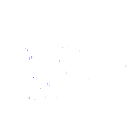 CC(C)(C)c1cc(-c2ccc(F)cc2)nc2cc(C(=O)N3CCN(C(=O)c4ccn[nH]4)CC3(C)C)oc12